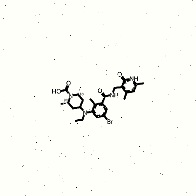 CCN(c1cc(Br)cc(C(=O)NCc2c(C)cc(C)[nH]c2=O)c1C)C1C[C@@H](C)N(C(=O)O)[C@H](C)C1